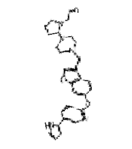 O=CCN1CCCC1N1CCN(Cc2coc3cc(Oc4ccc(-c5ccn[nH]5)cn4)ccc23)CC1